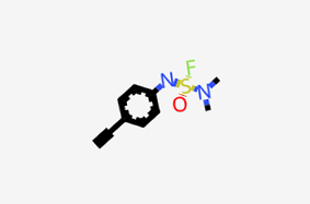 C#Cc1ccc(N=S(=O)(F)N(C)C)cc1